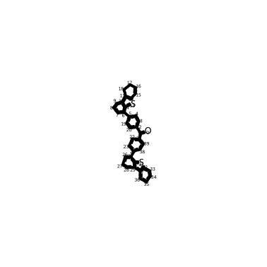 O=C(c1ccc(-c2cccc3c4c(sc23)C=CCC4)cc1)c1ccc(-c2cccc3c2sc2ccccc23)cc1